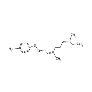 CC(=CCOSc1ccc(C)cc1)CCC=C(C)CC(Cl)(Cl)Cl